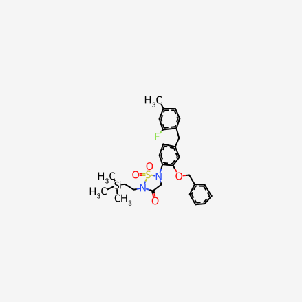 Cc1ccc(Cc2ccc(N3CC(=O)N(CC[Si](C)(C)C)S3(=O)=O)c(OCc3ccccc3)c2)c(F)c1